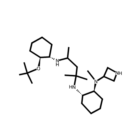 CC(CC(C)(C)N[C@H]1CCCC[C@@H]1N(C)C1CNC1)N[C@H]1CCCC[C@@H]1OC(C)(C)C